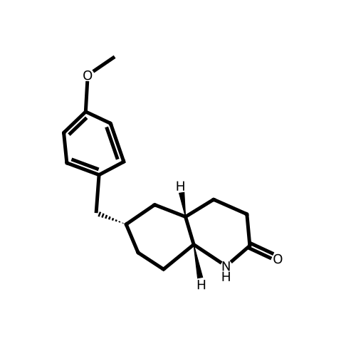 COc1ccc(C[C@H]2CC[C@H]3NC(=O)CC[C@H]3C2)cc1